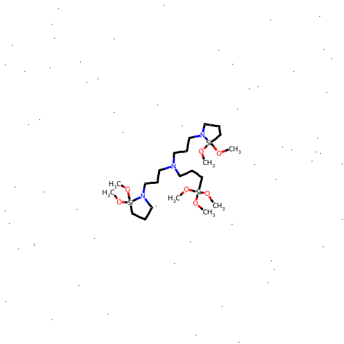 CO[Si](CCCN(CCCN1CCC[Si]1(OC)OC)CCCN1CCC[Si]1(OC)OC)(OC)OC